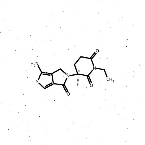 CCN1C(=O)CC[C@](F)(N2Cc3c(csc3N)C2=O)C1=O